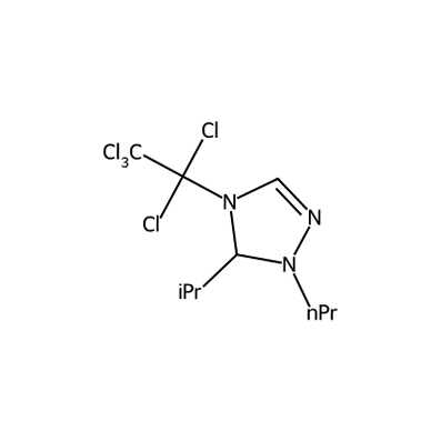 CCCN1N=CN(C(Cl)(Cl)C(Cl)(Cl)Cl)C1C(C)C